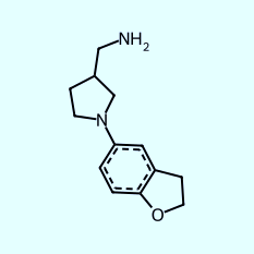 NCC1CCN(c2ccc3c(c2)CCO3)C1